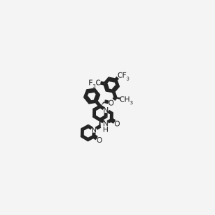 C[C@@H](OC[C@@]1(c2ccccc2)CC[C@]2(CN3CCCCC3=O)CN1CC(=O)N2)c1cc(C(F)(F)F)cc(C(F)(F)F)c1